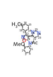 COc1ccccc1N(C(C)=O)c1onc(-c2cccc(C)c2)c1-c1ccncn1